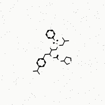 CC(C)CN(CC(O)C(Cc1ccc(C(C)C)cc1)NC(=O)OC1CCOC1)S(=O)(=O)c1ccccc1